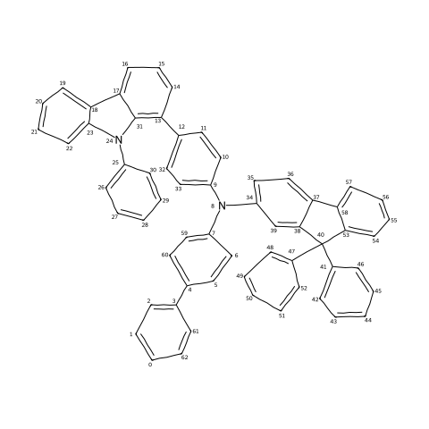 c1ccc(-c2ccc(N(c3ccc(-c4cccc5c6ccccc6n(-c6ccccc6)c45)cc3)c3ccc4c(c3)C(c3ccccc3)(c3ccccc3)c3ccccc3-4)cc2)cc1